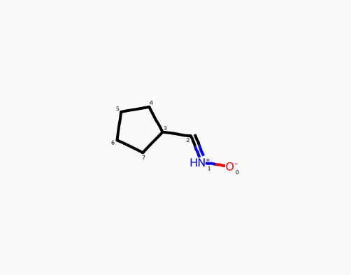 [O-][NH+]=CC1CCCC1